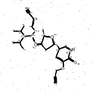 C#CCOC1=CC([C@H]2CC(OP(OCCC#N)N(C(C)C)C(C)C)[C@@H](C)O2)CNC1=O